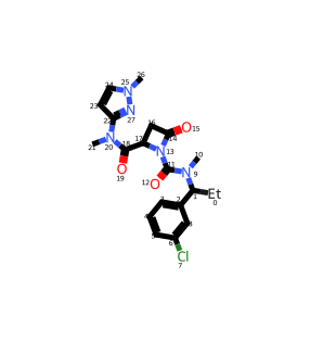 CCC(c1cccc(Cl)c1)N(C)C(=O)N1C(=O)CC1C(=O)N(C)c1ccn(C)n1